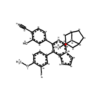 COc1ccc(-c2c(-c3ccc(C#N)c(O)c3)nc(N3C4CCC3CC(N)C4)n3ccnc23)cc1F